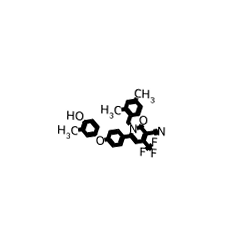 Cc1ccc(Cn2c(-c3ccc(Oc4ccc(O)c(C)c4)cc3)cc(C(F)(F)F)c(C#N)c2=O)c(C)c1